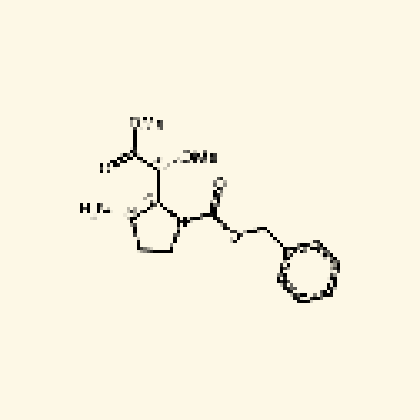 COC(=O)[C@H](OC)[C@@H]1[C@@H](N)CCN1C(=O)OCc1ccccc1